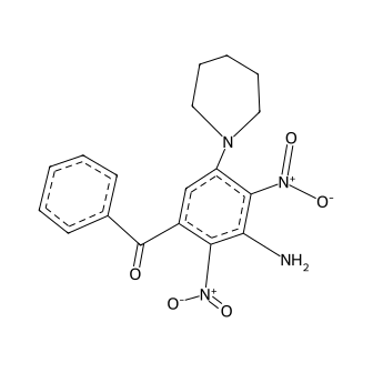 Nc1c([N+](=O)[O-])c(C(=O)c2ccccc2)cc(N2CCCCC2)c1[N+](=O)[O-]